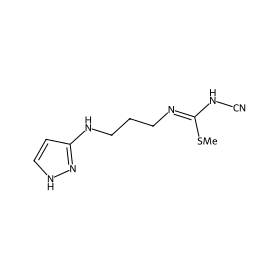 CS/C(=N\CCCNc1cc[nH]n1)NC#N